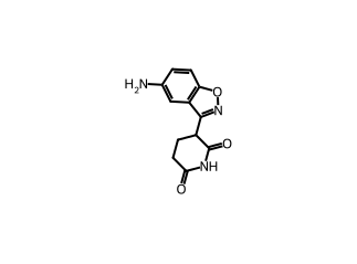 Nc1ccc2onc(C3CCC(=O)NC3=O)c2c1